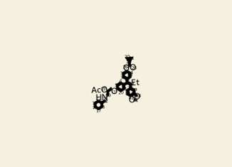 CC/C(=C(/c1ccc(OCC(CNCC2CCCCC2)OC(C)=O)cc1)c1ccc(OC(=O)C2CC2)cc1)c1ccc2c(c1)OCO2